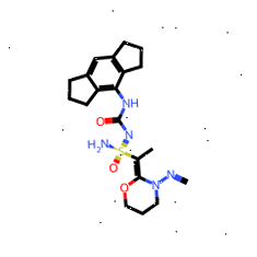 C=NN1CCCO/C1=C(/C)[S@](N)(=O)=NC(=O)Nc1c2c(cc3c1CCC3)CCC2